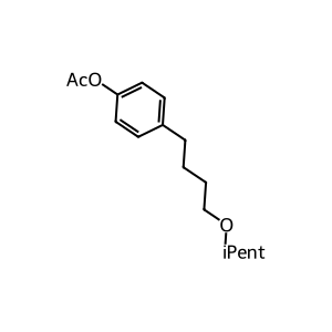 CCCC(C)OCCCCc1ccc(OC(C)=O)cc1